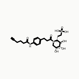 C#CCCCC(=O)Nc1ccc(CCC(=O)N2C[C@@H](O)[C@@H](O)[C@H](O)[C@H]2CCP(=O)(O)O)cc1